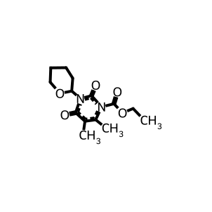 CCOC(=O)n1c(C)c(C)c(=O)n(C2CCCCO2)c1=O